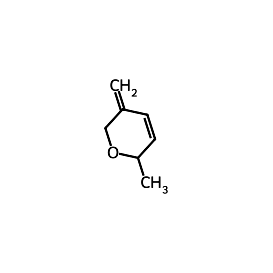 C=C1C=CC(C)OC1